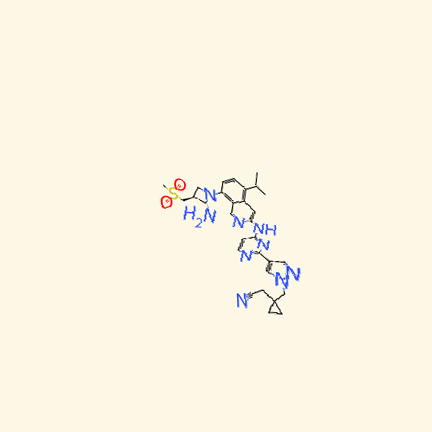 CC(C)c1ccc(N2C[C@H](CS(C)(=O)=O)[C@H]2N)c2cnc(Nc3ccnc(-c4cnn(CC5(CC#N)CC5)c4)n3)cc12